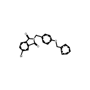 O=C1c2ccc(Br)cc2C(=O)N1Cc1ccc(OCc2ccccc2)cc1